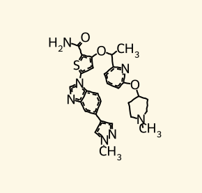 CC(Oc1cc(-n2cnc3cc(-c4cnn(C)c4)ccc32)sc1C(N)=O)c1cccc(OC2CCN(C)CC2)n1